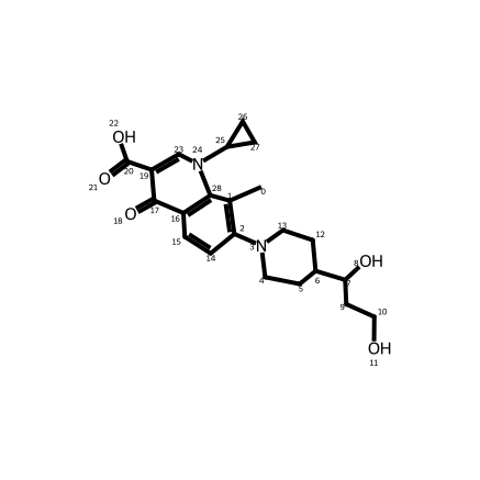 Cc1c(N2CCC(C(O)CCO)CC2)ccc2c(=O)c(C(=O)O)cn(C3CC3)c12